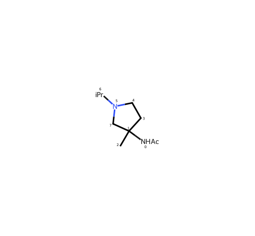 CC(=O)NC1(C)CCN(C(C)C)C1